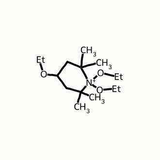 CCOC1CC(C)(C)[N+](OCC)(OCC)C(C)(C)C1